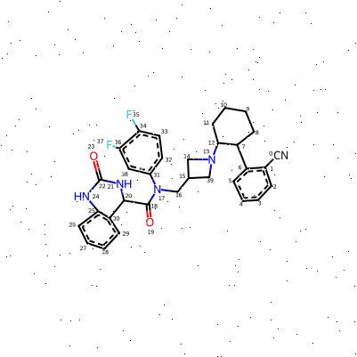 N#Cc1ccccc1C1CCCCC1N1CC(CN(C(=O)C2NC(=O)Nc3ccccc32)c2ccc(F)c(F)c2)C1